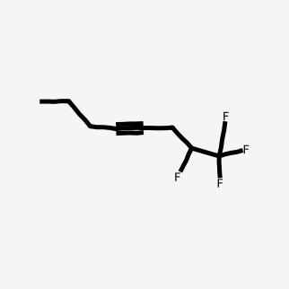 CCCC#CCC(F)C(F)(F)F